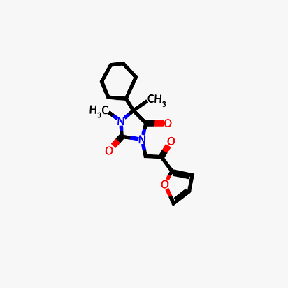 CN1C(=O)N(CC(=O)c2ccco2)C(=O)C1(C)C1CCCCC1